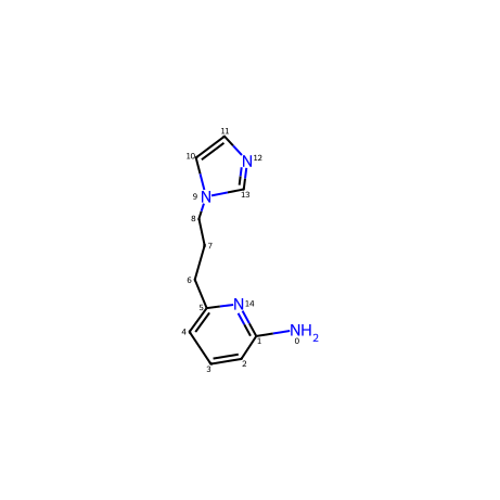 Nc1cccc(CCCn2ccnc2)n1